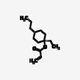 C=CC(=O)OC1(CC)CCC(CCC)CC1